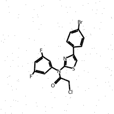 O=C(CCl)N(c1cc(F)cc(F)c1)c1nc(-c2ccc(Br)cc2)cs1